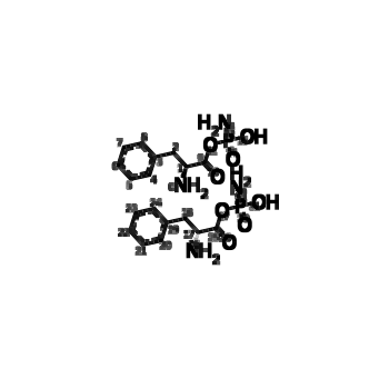 N[C@@H](Cc1ccccc1)C(=O)OP(N)(=O)O.N[C@H](Cc1ccccc1)C(=O)OP(N)(=O)O